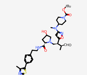 Cc1ncsc1-c1ccc(CCNC(=O)[C@@H]2C[C@@H](O)CN2C[C@@H](c2cc(N(C)C3CCN(C(=O)OC(C)(C)C)CC3)no2)[C@H](C)C=O)cc1